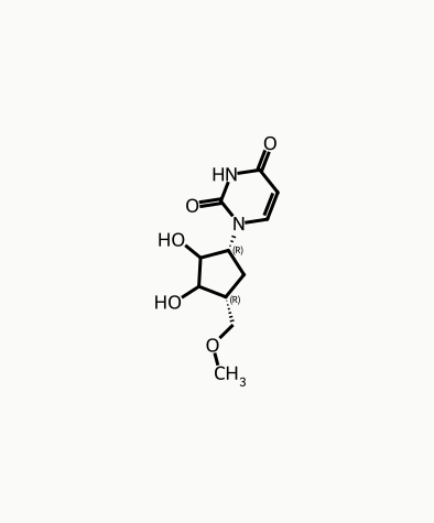 COC[C@H]1C[C@@H](n2ccc(=O)[nH]c2=O)C(O)C1O